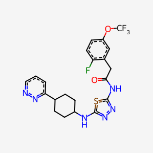 O=C(Cc1cc(OC(F)(F)F)ccc1F)Nc1nnc(NC2CCC(c3cccnn3)CC2)s1